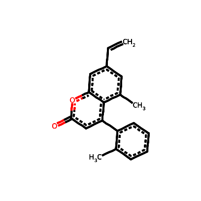 C=Cc1cc(C)c2c(-c3ccccc3C)cc(=O)oc2c1